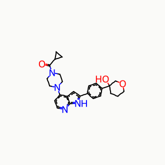 O=C(C1CC1)N1CCN(c2ccnc3[nH]c(-c4ccc(C5(O)CCCOC5)cc4)cc23)CC1